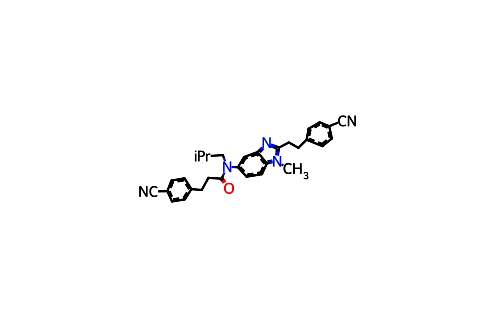 CC(C)CN(C(=O)CCc1ccc(C#N)cc1)c1ccc2c(c1)nc(CCc1ccc(C#N)cc1)n2C